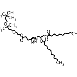 CCCCCCCCCC(=O)OCC(Cn1cc(CCC(=O)OCCOCCC(C)(C)OCCC(C)(C)O)nn1)OC(=O)CCCCCCCCC